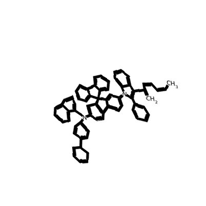 C=C(/C=C\C=C/C)c1c(-c2ccccc2)n(-c2ccc3c(c2)C2(c4ccccc4-c4ccccc42)c2cc(N(c4ccc(C5C=CC=CC5)cc4)c4cccc5ccccc45)ccc2-3)c2ccccc12